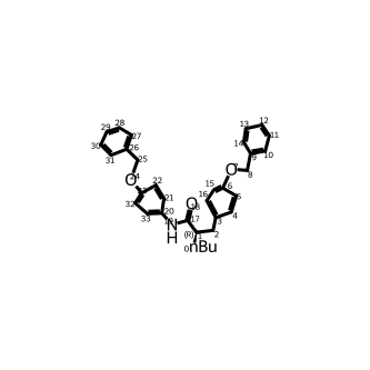 CCCC[C@H](Cc1ccc(OCc2ccccc2)cc1)C(=O)Nc1ccc(OCc2ccccc2)cc1